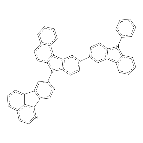 c1ccc(-n2c3ccccc3c3cc(-c4ccc5c(c4)c4c6ccccc6ccc4n5-c4cc5c(cn4)-c4nccc6cccc-5c46)ccc32)cc1